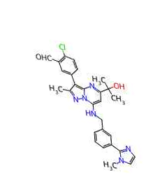 Cc1nn2c(NCc3cccc(-c4nccn4C)c3)cc(C(C)(C)O)nc2c1-c1ccc(Cl)c(C=O)c1